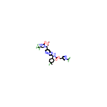 COC[C@H](c1cnn2cc([C@@H](NC(=O)OCc3cnn(C(F)F)c3)C3CCC(C)(F)CC3)nc2c1)N1C[C@@H](C(F)(F)F)NC1=O